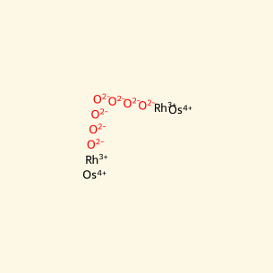 [O-2].[O-2].[O-2].[O-2].[O-2].[O-2].[O-2].[Os+4].[Os+4].[Rh+3].[Rh+3]